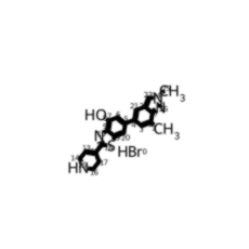 Br.Cc1cc(-c2cc(O)c3nc(C4=CCNCC4)sc3c2)cc2cn(C)nc12